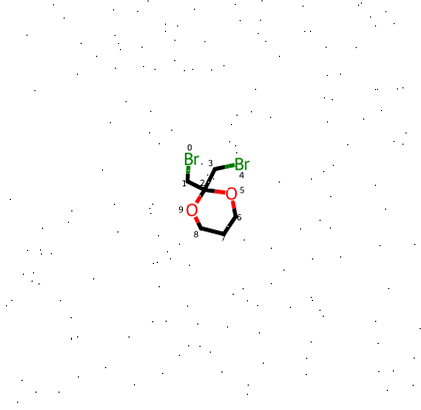 BrCC1(CBr)OCCCO1